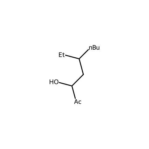 CCCCC(CC)CC(O)C(C)=O